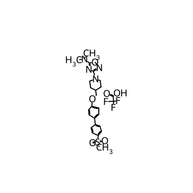 CN(C)c1nc(N2CCC(COc3ccc(-c4ccc(S(C)(=O)=O)cc4)cc3)CC2)no1.O=C(O)C(F)(F)F